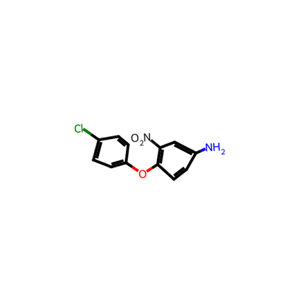 Nc1ccc(Oc2ccc(Cl)cc2)c([N+](=O)[O-])c1